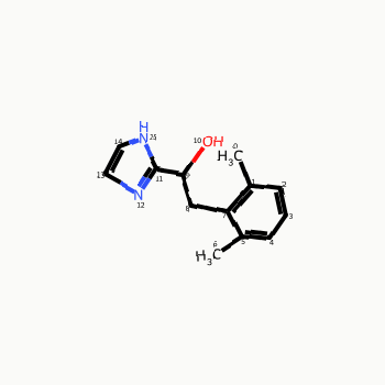 Cc1cccc(C)c1CC(O)c1ncc[nH]1